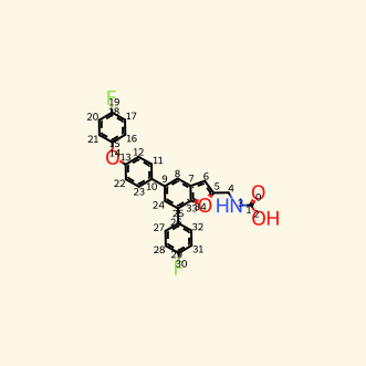 O=C(O)NCc1cc2cc(-c3ccc(Oc4ccc(F)cc4)cc3)cc(-c3ccc(F)cc3)c2o1